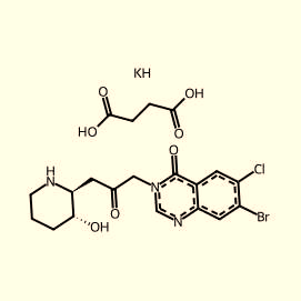 O=C(C[C@@H]1NCCC[C@H]1O)Cn1cnc2cc(Br)c(Cl)cc2c1=O.O=C(O)CCC(=O)O.[KH]